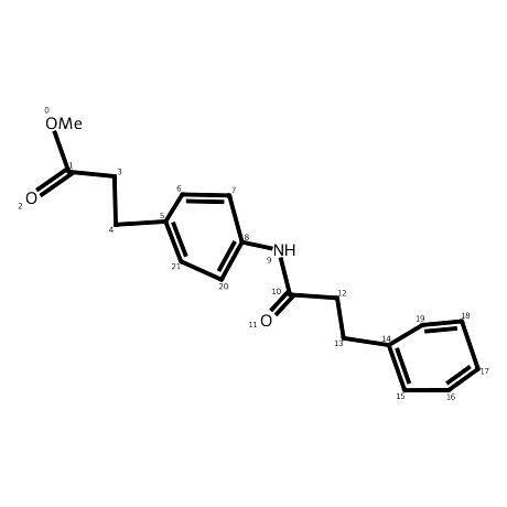 COC(=O)CCc1ccc(NC(=O)CCc2ccccc2)cc1